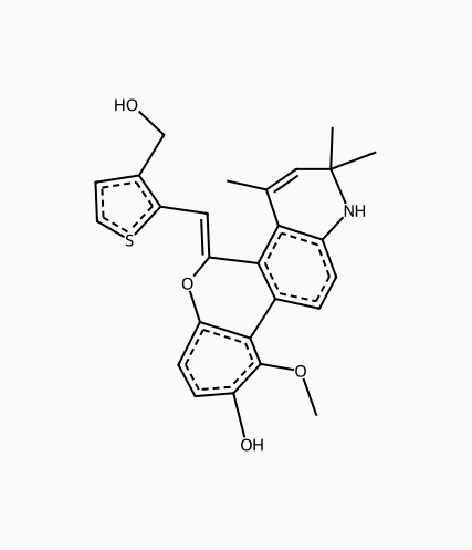 COc1c(O)ccc2c1-c1ccc3c(c1/C(=C/c1sccc1CO)O2)C(C)=CC(C)(C)N3